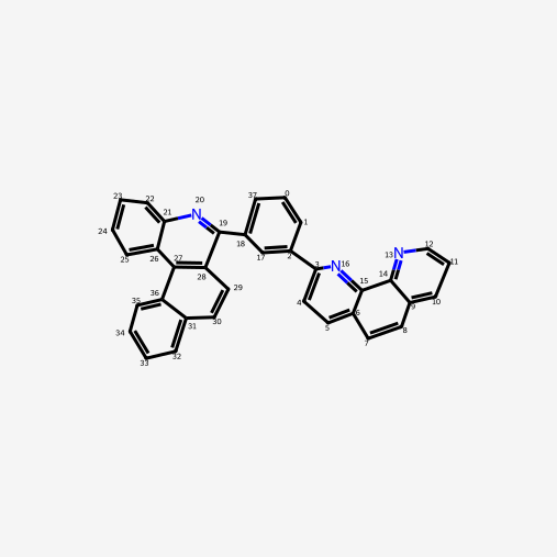 c1cc(-c2ccc3ccc4cccnc4c3n2)cc(-c2nc3ccccc3c3c2ccc2ccccc23)c1